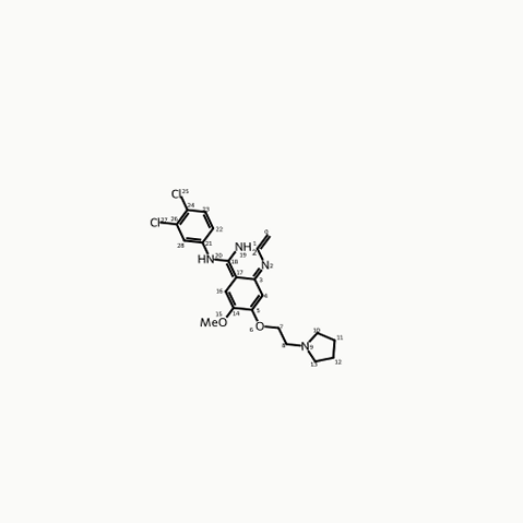 C=C/N=C1/C=C(OCCN2CCCC2)C(OC)=C/C1=C(/N)Nc1ccc(Cl)c(Cl)c1